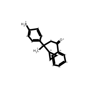 Bc1ccc(C(C)(CC(=O)c2ccccc2)C2CC2)cc1